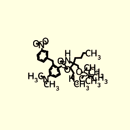 CCCCC(CCCC)(CO[Si](C)(C)C(C)(C)C)NS(=O)(=O)c1ccc(N(C)C)cc1Cc1cccc([N+](=O)[O-])c1